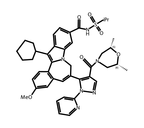 COc1ccc2c(c1)C=C(c1c(C(=O)N3C[C@@H](C)O[C@@H](C)C3)cnn1-c1ccccn1)Cn1c-2c(C2CCCCC2)c2ccc(C(=O)NS(=O)(=O)C(C)C)cc21